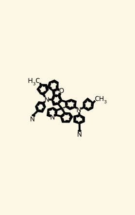 Cc1ccc(N(c2ccc(C#N)cc2)c2ccc3c(c2)[C@]2(c4ccccc4-c4ncccc42)c2cc(N(c4ccc(C)cc4)c4ccc(C#N)cc4)c4c(oc5ccccc54)c2-3)cc1